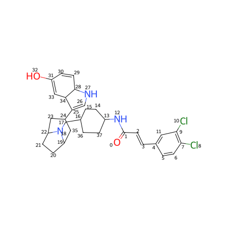 O=C(/C=C/c1ccc(Cl)c(Cl)c1)NC1CCC(CN2C3CCC2CC(C2=CNC4C=CC(O)=CC24)C3)CC1